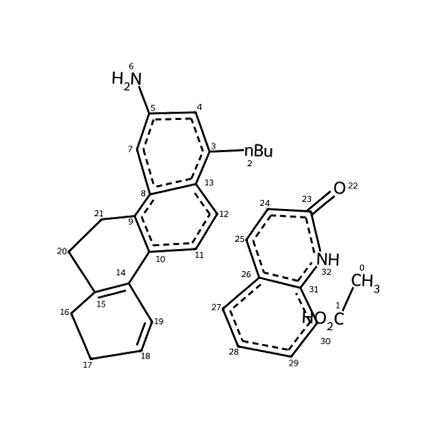 CC(=O)O.CCCCc1cc(N)cc2c3c(ccc12)C1=C(CCC=C1)CC3.O=c1ccc2ccccc2[nH]1